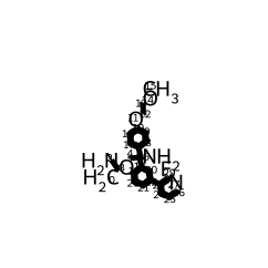 C=C(N)OCC(N)(c1ccc(OCCOC)cc1)c1cccc(-c2cccnc2F)c1